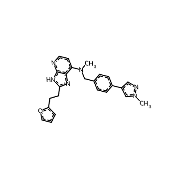 CN(Cc1ccc(-c2cnn(C)c2)cc1)c1ccnc2[nH]c(CCc3ccco3)nc12